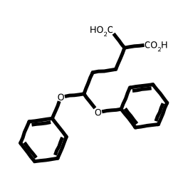 O=C(O)C(CCC(Oc1ccccc1)Oc1ccccc1)C(=O)O